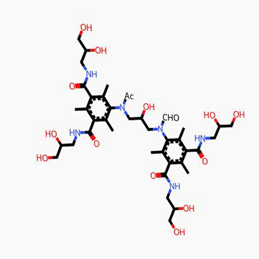 CC(=O)N(CC(O)CN(C=O)c1c(C)c(C(=O)NCC(O)CO)c(C)c(C(=O)NCC(O)CO)c1C)c1c(C)c(C(=O)NCC(O)CO)c(C)c(C(=O)NCC(O)CO)c1C